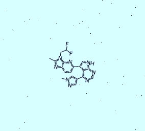 Cc1nc2ccc(-c3c[nH]c4ncnc(-c5cnn(C)c5)c34)nc2n1CC(F)F